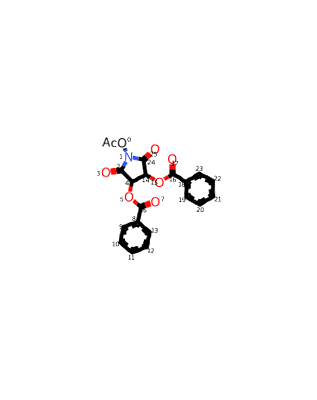 CC(=O)ON1C(=O)C(OC(=O)c2ccccc2)C(OC(=O)c2ccccc2)C1=O